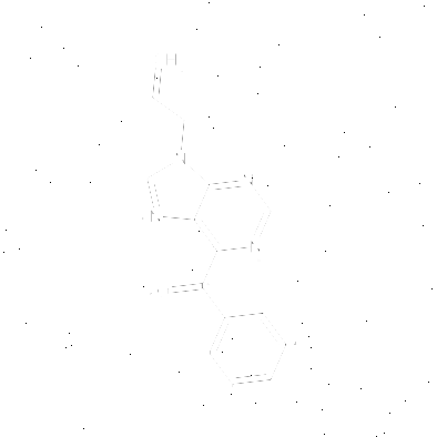 C=CCn1cnc2c(C(=O)c3ccccc3)ncnc21